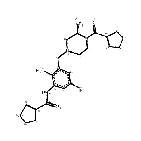 Cc1c(CN2CCN(C(=O)C3CCCC3)C(C)C2)cc(Cl)cc1NC(=O)C1CCNC1